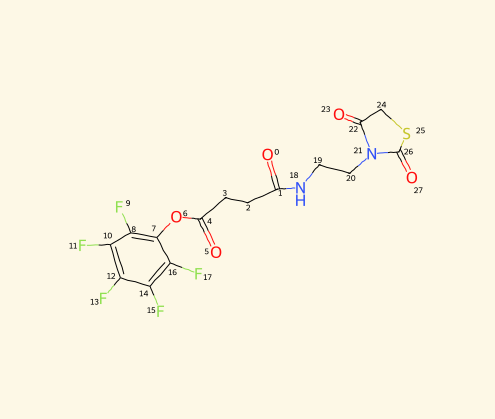 O=C(CCC(=O)Oc1c(F)c(F)c(F)c(F)c1F)NCCN1C(=O)CSC1=O